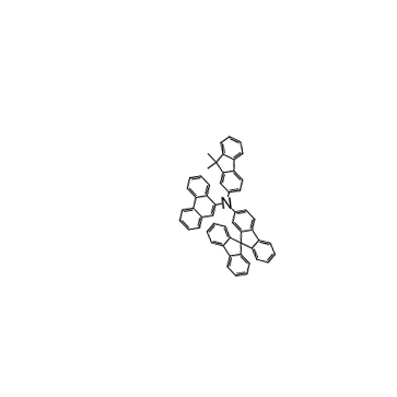 CC1(C)c2ccccc2-c2ccc(N(c3ccc4c(c3)C3(c5ccccc5-c5ccccc53)c3ccccc3-4)c3cc4ccccc4c4ccccc34)cc21